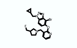 FCC1CCN(Cc2cccnc2Oc2ccc3c(nnn3CC3CC3)c2Br)C1